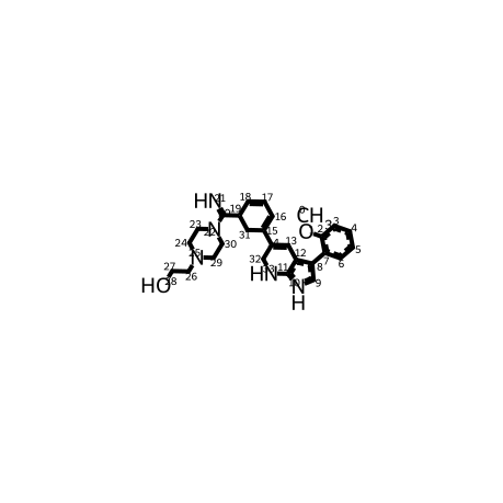 COc1ccccc1-c1c[nH]c2c1C=C(C1=CC=CC(C(=N)N3CCN(CCO)CC3)C1)CN2